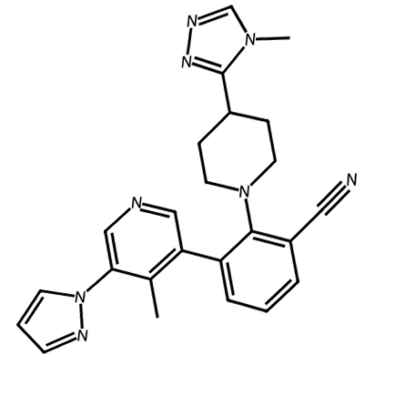 Cc1c(-c2cccc(C#N)c2N2CCC(c3nncn3C)CC2)cncc1-n1cccn1